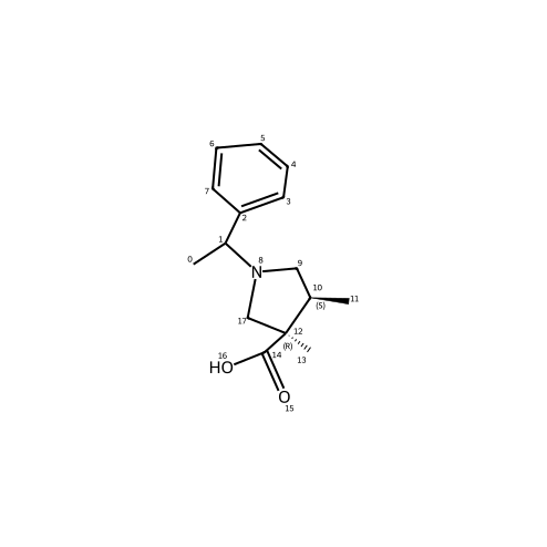 CC(c1ccccc1)N1C[C@@H](C)[C@@](C)(C(=O)O)C1